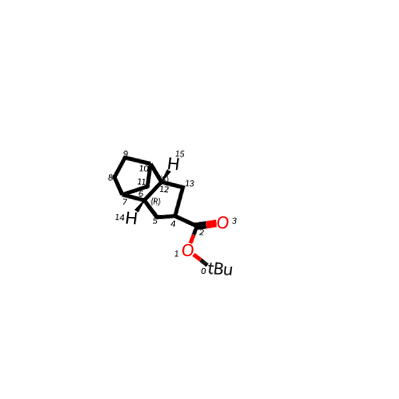 CC(C)(C)OC(=O)C1C[C@@H]2C3CCC(C3)[C@@H]2C1